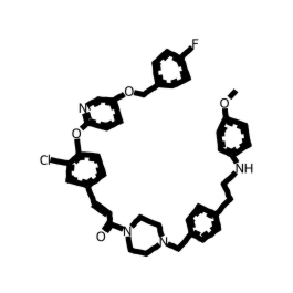 COc1ccc(NCCc2ccc(CN3CCN(C(=O)C=Cc4ccc(Oc5ccc(OCc6ccc(F)cc6)cn5)c(Cl)c4)CC3)cc2)cc1